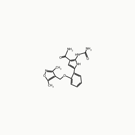 Cc1noc(C)c1COc1ccccc1-c1cc(C(N)=O)c(NC(N)=O)[nH]1